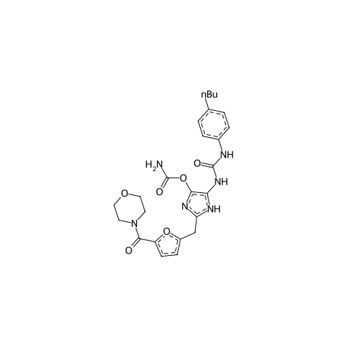 CCCCc1ccc(NC(=O)Nc2[nH]c(Cc3ccc(C(=O)N4CCOCC4)o3)nc2OC(N)=O)cc1